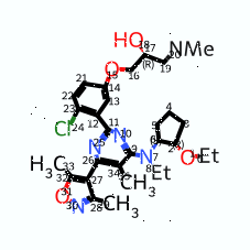 CCO[C@@H]1CCC[C@@H]1N(CC)c1nc(-c2cc(OC[C@H](O)CNC)ccc2Cl)nc(-c2c(C)noc2C)c1C